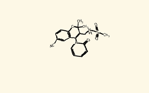 CC1(C)Oc2ccc(C#N)cc2C(n2ccccc2=O)=C1CNS(C)(=O)=O